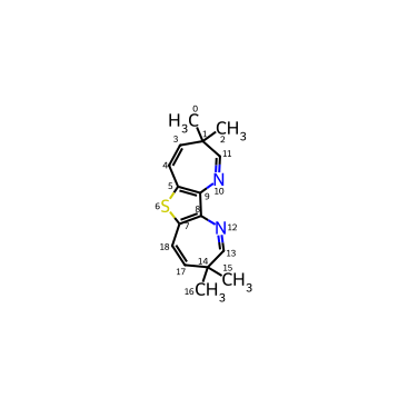 CC1(C)C=Cc2sc3c(c2N=C1)N=CC(C)(C)C=C3